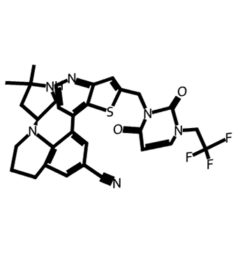 CC1(C)C[C@H](N2CCCc3cc(C#N)cc(-c4ccnc5cc(Cn6c(=O)ccn(CC(F)(F)F)c6=O)sc45)c32)CN1